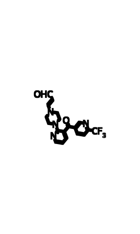 O=CC=CN1CCN(c2ncccc2C(=O)c2ccc(C(F)(F)F)nc2)CC1